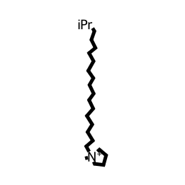 CC(C)CCCCCCCCCCCCCCCC[N+]1(C)CCCC1